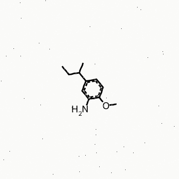 CCC(C)c1ccc(OC)c(N)c1